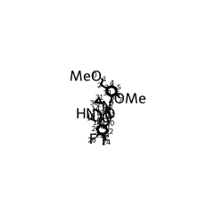 COCCc1ccc(OC)c(CN(C(=O)[C@H]2CNCC[C@@]23OCc2cc(F)c(F)cc23)C2CC2)c1